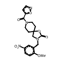 COc1ccc([N+](=O)[O-])cc1CN1CC2(CCN(C(=O)c3ccno3)CC2)OC1=O